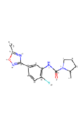 CC1CCCN1C(=O)Nc1cc(-c2noc(C(F)(F)F)n2)ccc1F